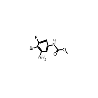 COC(=O)Nc1cc(N)c(Br)c(F)c1